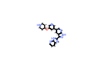 c1cnc2[nH]c(-c3n[nH]c4ncc(-c5cncc(OC6CCNCC6)c5)cc34)nc2c1